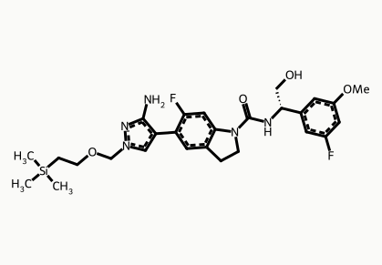 COc1cc(F)cc([C@@H](CO)NC(=O)N2CCc3cc(-c4cn(COCC[Si](C)(C)C)nc4N)c(F)cc32)c1